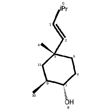 CC(C)/C=C/[C@]1(C)CC[C@H](O)[C@@H](C)C1